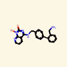 NCc1ccccc1-c1ccc(CNc2nc(=O)n(O)c3ncccc23)cc1